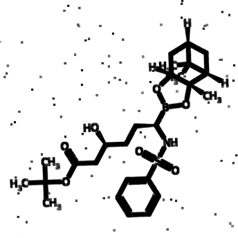 CC(C)(C)OC(=O)C[C@@H](O)CC[C@H](NS(=O)(=O)c1ccccc1)B1O[C@@H]2C[C@@H]3C[C@@H](C3(C)C)[C@]2(C)O1